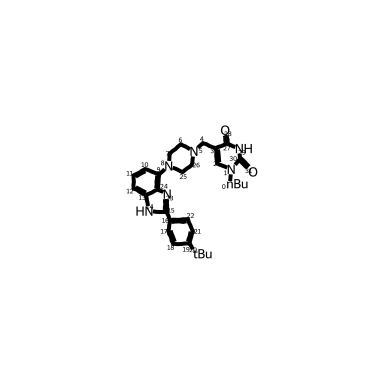 CCCCn1cc(CN2CCN(c3cccc4[nH]c(-c5ccc(C(C)(C)C)cc5)nc34)CC2)c(=O)[nH]c1=O